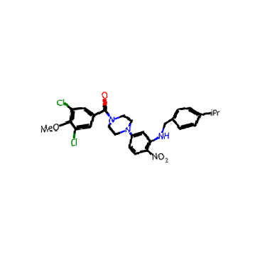 COc1c(Cl)cc(C(=O)N2CCN(c3ccc([N+](=O)[O-])c(NCc4ccc(C(C)C)cc4)c3)CC2)cc1Cl